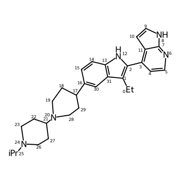 CCc1c(-c2ccnc3[nH]ccc23)[nH]c2ccc(C3CCN(C4CCN(C(C)C)CC4)CC3)cc12